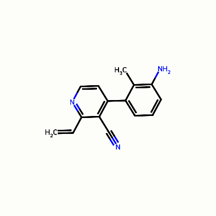 C=Cc1nccc(-c2cccc(N)c2C)c1C#N